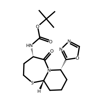 CC(C)(C)OC(=O)N[C@H]1CCS[C@H]2CCC[C@@H](c3nnco3)N2C1=O